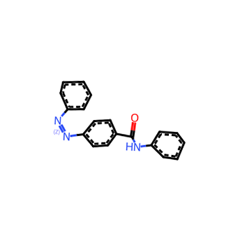 O=C(Nc1ccccc1)c1ccc(/N=N\c2ccccc2)cc1